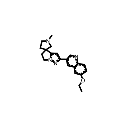 CCOc1ccc2ncc(-c3cc4n(n3)CCC43CCN(C)C3)cc2c1